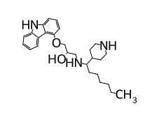 CCCCCCC(NC[C@H](O)COc1cccc2[nH]c3ccccc3c12)C1CCNCC1